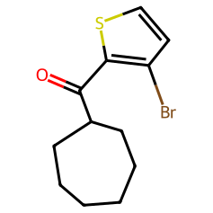 O=C(c1sccc1Br)C1CCCCCC1